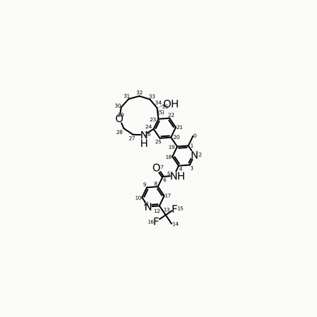 Cc1ncc(NC(=O)c2ccnc(C(C)(F)F)c2)cc1-c1ccc2c(c1)NCCOCCCC[C@@H]2O